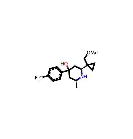 COCC1([C@@H]2CC(O)(c3ccc(C(F)(F)F)cc3)C[C@H](C)N2)CC1